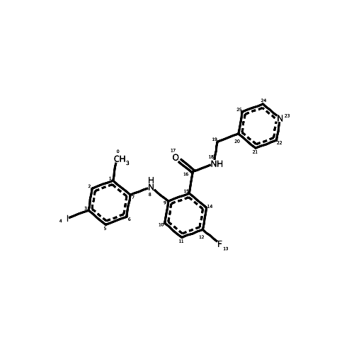 Cc1cc(I)ccc1Nc1ccc(F)cc1C(=O)NCc1ccncc1